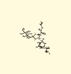 C=CCOC(=O)N1C[C@H](O[Si](C)(C)C(C)(C)C)C[C@H]1Cc1ccnc(C(N)=O)c1